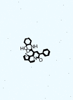 O=C(NC1CCCCC1O)c1cc(-c2ccccc2)c(=O)n2ccc3ccsc3c12